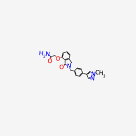 Cn1cc(-c2ccc(CN3Cc4cccc(OCC(N)=O)c4C3=O)cc2)cn1